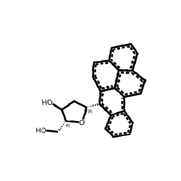 OC[C@H]1O[C@@H](c2c3ccccc3c3ccc4cccc5ccc2c3c54)CC1O